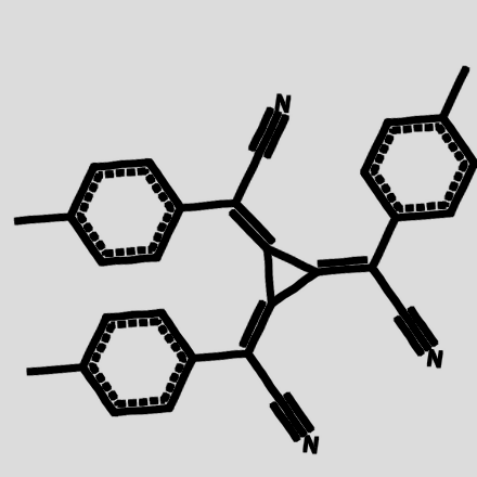 Cc1ccc(C(C#N)=C2C(=C(C#N)c3ccc(C)cc3)C2=C(C#N)c2ccc(C)cc2)cc1